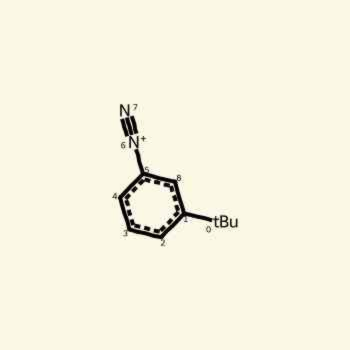 CC(C)(C)c1cccc([N+]#N)c1